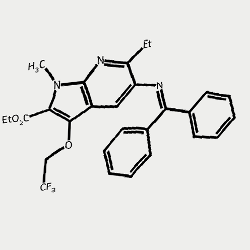 CCOC(=O)c1c(OCC(F)(F)F)c2cc(N=C(c3ccccc3)c3ccccc3)c(CC)nc2n1C